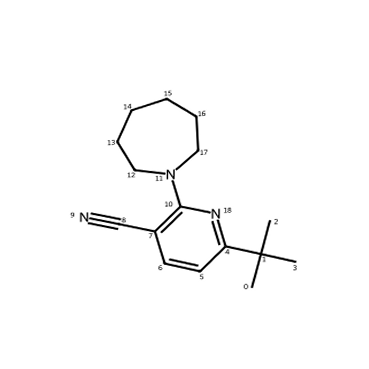 CC(C)(C)c1ccc(C#N)c(N2CCCCCC2)n1